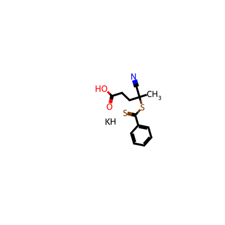 CC(C#N)(CCC(=O)O)SC(=S)c1ccccc1.[KH]